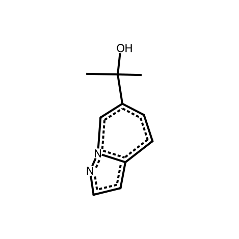 CC(C)(O)c1ccc2ccnn2c1